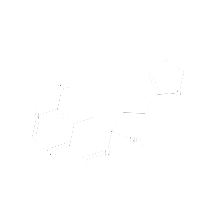 CN1CCC=C1CCC1(N)Cc2c(N)ncnc2C=N1